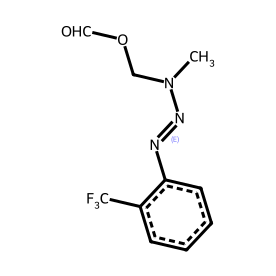 CN(COC=O)/N=N/c1ccccc1C(F)(F)F